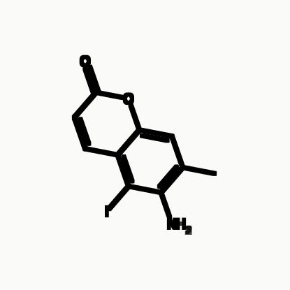 Cc1cc2oc(=O)ccc2c(I)c1N